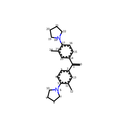 C=C(c1ccc(N2CCCC2)c(C)c1)c1ccc(N2CCCC2)c(C)c1